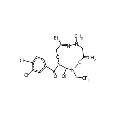 C=C1CN(C)/N=C(\CC)CCN(C(=O)c2ccc(Cl)c(Cl)c2)C(O)N(CC(F)(F)F)C1